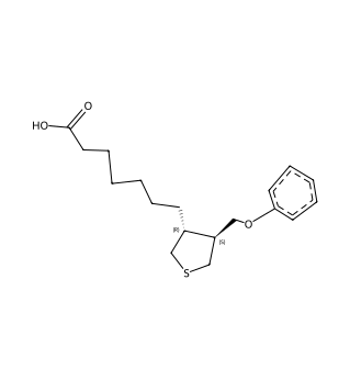 O=C(O)CCCCCC[C@H]1CSC[C@@H]1COc1ccccc1